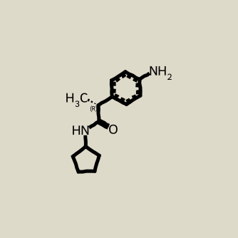 C[C@@H](C(=O)NC1CCCC1)c1ccc(N)cc1